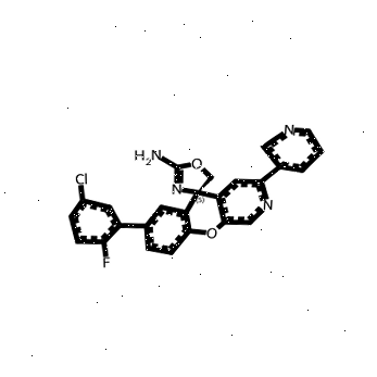 NC1=N[C@@]2(CO1)c1cc(-c3cc(Cl)ccc3F)ccc1Oc1cnc(-c3cccnc3)cc12